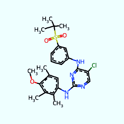 COc1c(C)cc(Nc2ncc(Cl)c(Nc3cccc(S(=O)(=O)C(C)(C)C)c3)n2)c(C)c1C